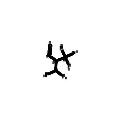 O=[C]N(C(F)F)C(F)(F)F